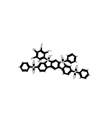 O=P1(c2c(F)c(F)c(F)c(F)c2F)c2cc(S(=O)(=O)c3ccccc3)ccc2-c2cc3c(cc21)[SH](=O)(c1ccccc1)c1cc(S(=O)(=O)c2ccccc2)ccc1-3